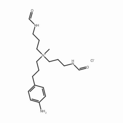 C[N+](CCCNC=O)(CCCNC=O)CCCc1ccc(N)cc1.[Cl-]